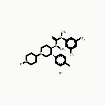 CN(C(=O)N(C)[C@@H]1CCN(C2CC[S+]([O-])CC2)C[C@H]1c1ccc(F)cc1)c1cc(C(F)(F)F)cc(C(F)(F)F)c1.Cl